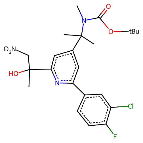 CN(C(=O)OC(C)(C)C)C(C)(C)c1cc(-c2ccc(F)c(Cl)c2)nc(C(C)(O)C[N+](=O)[O-])c1